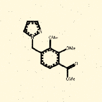 COC(=O)c1ccc(Cn2cccn2)c(OC)c1OC